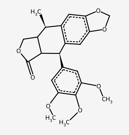 COc1cc([C@@H]2c3cc4c(cc3[C@H](C)C3COC(=O)C32)OCO4)cc(OC)c1OC